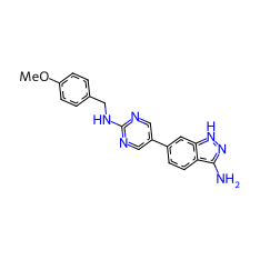 COc1ccc(CNc2ncc(-c3ccc4c(N)n[nH]c4c3)cn2)cc1